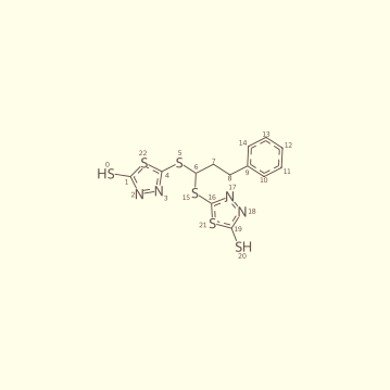 Sc1nnc(SC(CCc2ccccc2)Sc2nnc(S)s2)s1